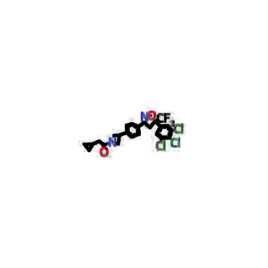 O=C(CC1CC1)N1CC(c2ccc(C3=NOC(c4cc(Cl)c(Cl)c(Cl)c4)(C(F)(F)F)C3)cc2)C1